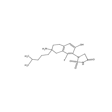 CC(C)CCCC1(N)CCc2cc(O)c(N3CC(=O)NS3(=O)=O)c(F)c2C1